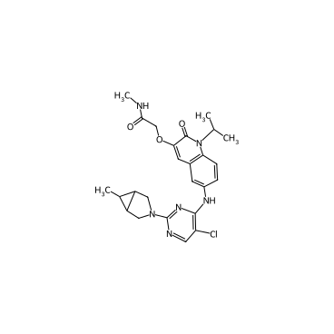 CNC(=O)COc1cc2cc(Nc3nc(N4CC5C(C)C5C4)ncc3Cl)ccc2n(C(C)C)c1=O